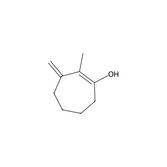 C=C1CCCCC(O)=C1C